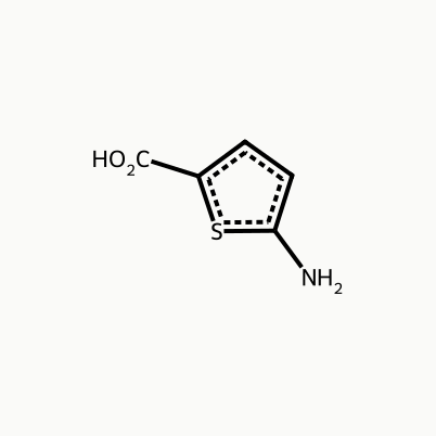 Nc1ccc(C(=O)O)s1